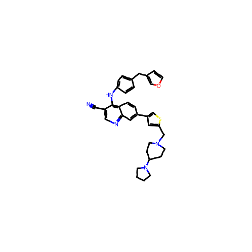 N#Cc1cnc2cc(-c3csc(CN4CCC(N5CCCC5)CC4)c3)ccc2c1Nc1ccc(Cc2ccoc2)cc1